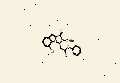 CON1C(=O)c2cc3cccc(Cl)c3n2C1CC(=O)Oc1ccccc1